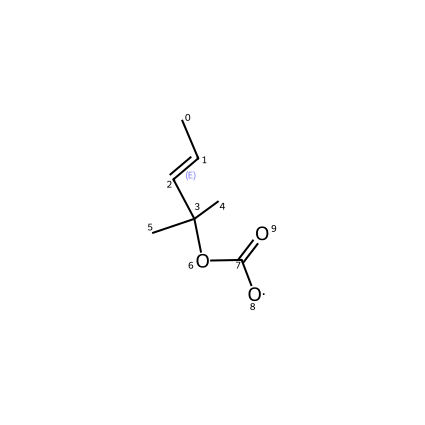 C/C=C/C(C)(C)OC([O])=O